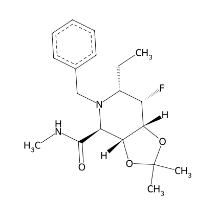 CC[C@@H]1[C@H](F)[C@@H]2OC(C)(C)O[C@@H]2[C@@H](C(=O)NC)N1Cc1ccccc1